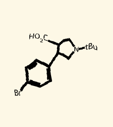 CC(C)(C)N1CC(C(=O)O)C(c2ccc(Br)cc2)C1